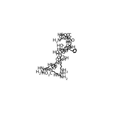 N=C(N)NCCC[C@H](NC(=O)[C@H](CCCNC(=N)N)NC(=O)CNC(=O)[C@H](CCCCN)NC(=O)[C@H](CS)NC(=O)[C@H](CO)NC(=O)[C@H](CO)NC(=O)[C@H](Cc1ccccc1)NC(=O)CNC(=O)[C@H](CC(=O)O)NC(=O)[C@H](CS)NC(=O)CN)C(=O)O